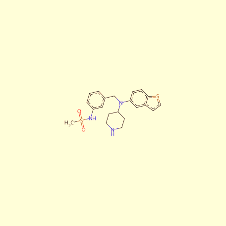 CS(=O)(=O)Nc1cccc(CN(c2ccc3sccc3c2)C2CCNCC2)c1